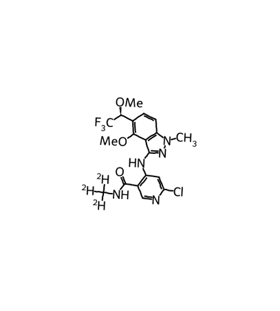 [2H]C([2H])([2H])NC(=O)c1cnc(Cl)cc1Nc1nn(C)c2ccc([C@H](OC)C(F)(F)F)c(OC)c12